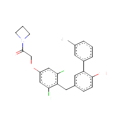 CCCc1cccc(-c2cc(Cc3c(Cl)cc(OCC(=O)N4CCC4)cc3Cl)ccc2O)c1